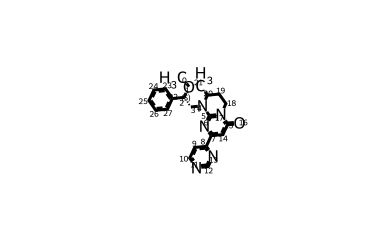 CO[C@H](CN1c2nc(-c3ccncn3)cc(=O)n2CCC1C)c1ccccc1